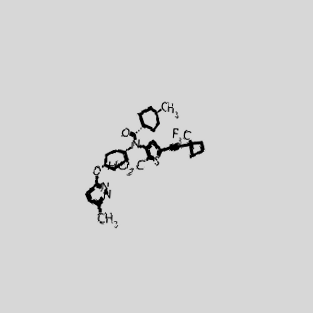 Cc1ccc(O[C@H]2CC[C@H](N(c3cc(C#CC4(C(F)(F)F)CCC4)sc3C(=O)O)C(=O)[C@H]3CC[C@H](C)CC3)CC2)nn1